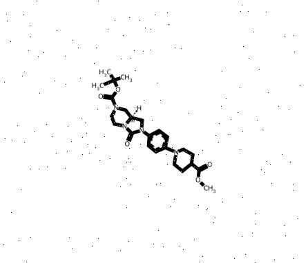 COC(=O)C1CCN(c2ccc(N3C[C@@H]4CN(C(=O)OC(C)(C)C)CCN4C3=O)cc2)CC1